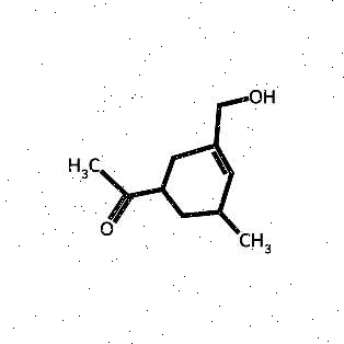 CC(=O)C1CC(CO)=CC(C)C1